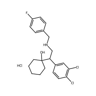 Cl.OC1(C(CNCc2ccc(F)cc2)c2ccc(Cl)c(Cl)c2)CCCCC1